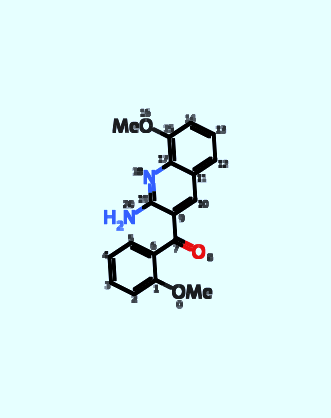 COc1ccccc1C(=O)c1cc2cccc(OC)c2nc1N